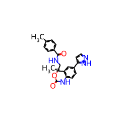 Cc1ccc(C(=O)NC[C@@]2(C)OC(=O)Nc3ccc(-c4ccn[nH]4)cc32)cc1